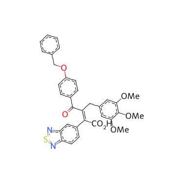 COc1cc(CC(C(=O)c2ccc(OCc3ccccc3)cc2)=C(C(=O)O)c2ccc3nsnc3c2)cc(OC)c1OC